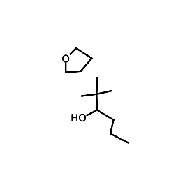 C1CCOC1.CCCC(O)C(C)(C)C